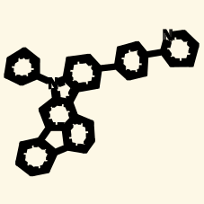 c1ccc(-n2c3ccc(-c4ccc(-c5ccccn5)cc4)cc3c3c4cccc5c4c(cc32)-c2ccccc2-5)cc1